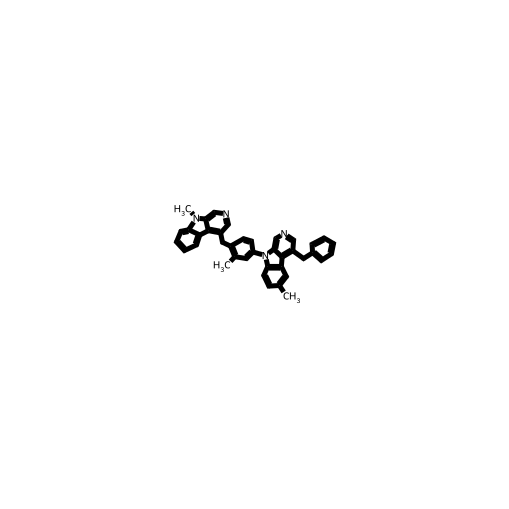 Cc1ccc2c(c1)c1c(Cc3ccccc3)cncc1n2-c1ccc(Cc2cncc3c2c2ccccc2n3C)c(C)c1